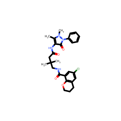 Cc1c(NC(=O)CC(C)(C)CNC(=O)c2cc(Cl)cc3c2OCCC3)c(=O)n(-c2ccccc2)n1C